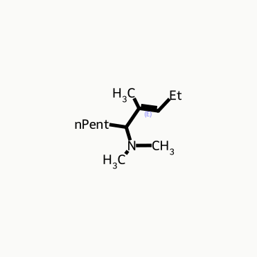 CC/C=C(\C)C(CCCCC)N(C)C